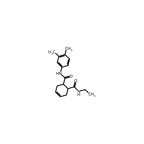 CCNC(=O)C1CC=CCC1C(=O)Nc1ccc(C)c(C)c1